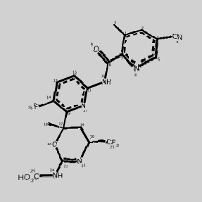 Cc1cc(C#N)cnc1C(=O)Nc1ccc(F)c([C@]2(C)C[C@@H](C(F)(F)F)N=C(NC(=O)O)O2)n1